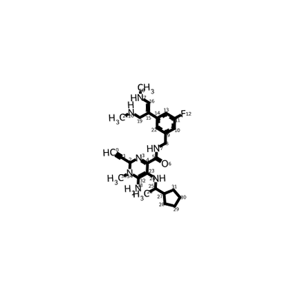 C#CC1N=C(C(=O)NCc2cc(F)cc(/C(=C/NC)CNC)c2)C(NC(C)C2CCCC2)=C(N)N1C